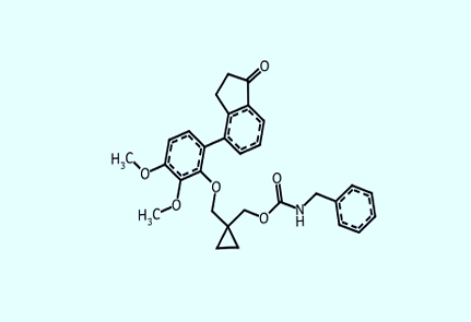 COc1ccc(-c2cccc3c2CCC3=O)c(OCC2(COC(=O)NCc3ccccc3)CC2)c1OC